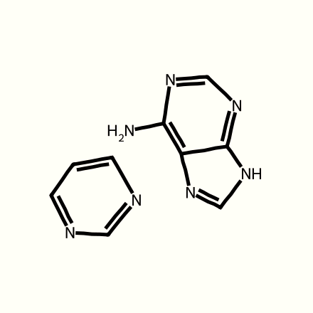 Nc1ncnc2[nH]cnc12.c1cncnc1